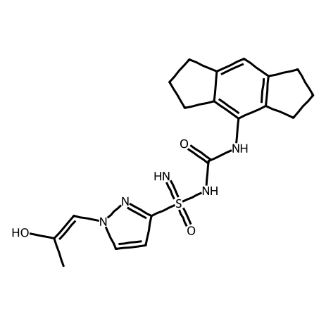 C/C(O)=C\n1ccc(S(=N)(=O)NC(=O)Nc2c3c(cc4c2CCC4)CCC3)n1